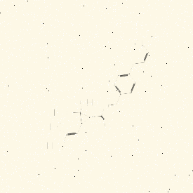 CC(C)=CC1C(C(=O)OCc2ccc(C/C=C\Cl)cc2)C1(C)C